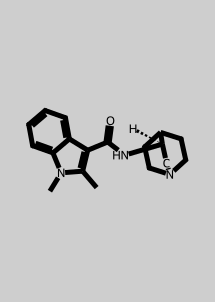 Cc1c(C(=O)N[C@@H]2CN3CCC2CC3)c2ccccc2n1C